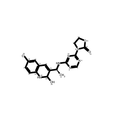 C[C@H](Nc1ncnc(N2CCOC2=O)n1)C1=Cc2cc(Cl)ccc2NC1O